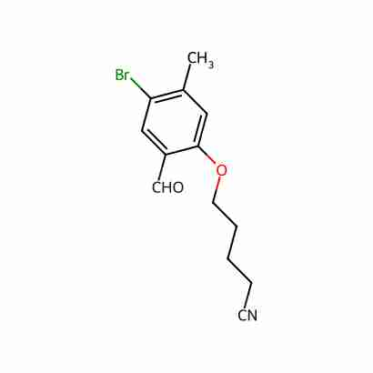 Cc1cc(OCCCCC#N)c(C=O)cc1Br